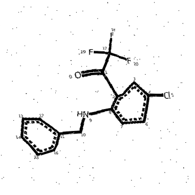 O=C(c1cc(Cl)ccc1NCc1ccccc1)C(F)(F)F